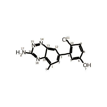 Cc1cc(-c2cc(O)ccc2Cl)cc2nnc(N)nc12